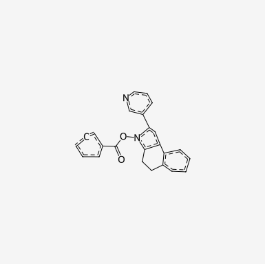 O=C(On1c(-c2cccnc2)cc2c1CCc1ccccc1-2)c1ccccc1